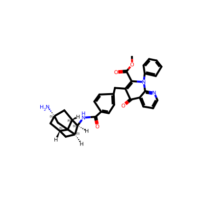 COC(=O)c1c(Cc2ccc(C(=O)N[C@@H]3[C@@H]4C[C@@H]5C[C@H]3C[C@@](N)(C5)C4)cc2)c(=O)c2cccnc2n1-c1ccccc1